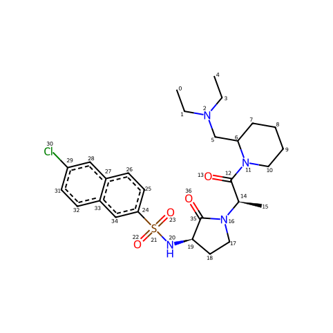 CCN(CC)CC1CCCCN1C(=O)[C@@H](C)N1CC[C@@H](NS(=O)(=O)c2ccc3cc(Cl)ccc3c2)C1=O